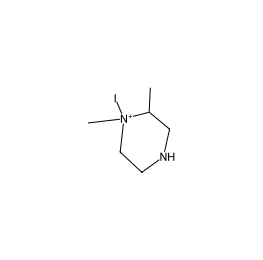 CC1CNCC[N+]1(C)I